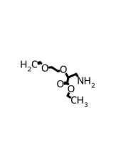 C=COCCOC(CN)C(=O)OCC